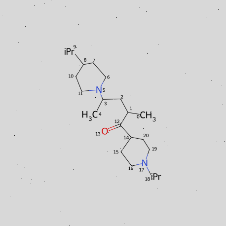 CC(CC(C)N1CCC(C(C)C)CC1)C(=O)C1CCN(C(C)C)CC1